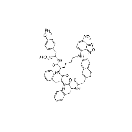 O=C(Cc1ccc2ccccc2c1)N[C@H](Cc1ccccc1)C(=O)N[C@H](Cc1ccccc1)C(=O)N[C@H](CCCCNc1ccc([N+](=O)[O-])c2nonc12)C(=O)N[C@H](Cc1ccc(OP)cc1)C(=O)O